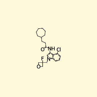 O=C(CCC1CCCCCC1)Nc1cn(CC2(F)COC2)c2cccc(Cl)c12